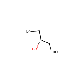 N#CC[C@@H](O)CC=O